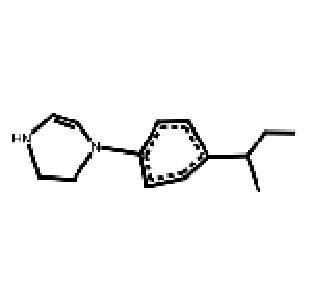 CCC(C)c1ccc(N2C=CNCC2)cc1